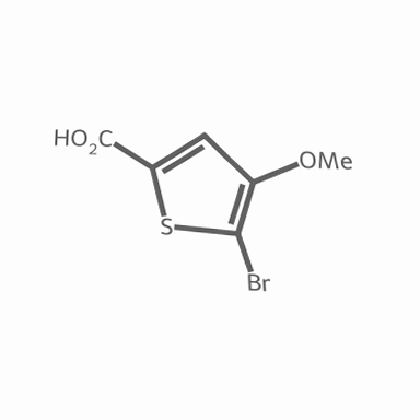 COc1cc(C(=O)O)sc1Br